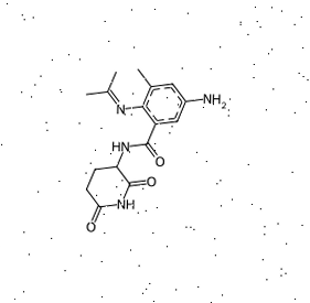 CC(C)=Nc1c(C)cc(N)cc1C(=O)NC1CCC(=O)NC1=O